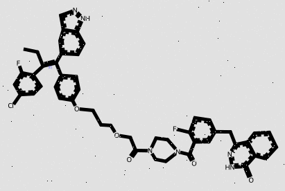 CC/C(=C(/c1ccc(OCCCOCC(=O)N2CCN(C(=O)c3cc(Cc4n[nH]c(=O)c5ccccc45)ccc3F)CC2)cc1)c1ccc2[nH]ncc2c1)c1ccc(Cl)cc1F